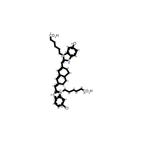 O=C(O)CCCCCN1/C(=C/C2=CC3=C/C(=C/c4sc5ccc(Cl)cc5[n+]4CCCCCC(=O)O)CCC3CC2)Sc2ccc(Cl)cc21